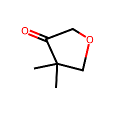 CC1(C)COCC1=O